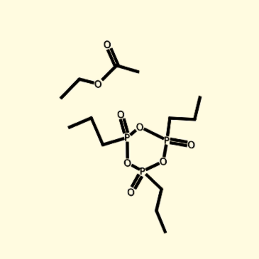 CCCP1(=O)OP(=O)(CCC)OP(=O)(CCC)O1.CCOC(C)=O